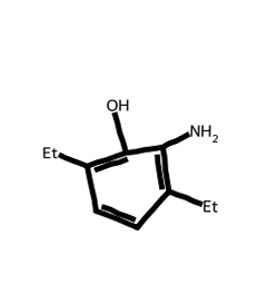 CCc1ccc(CC)c(O)c1N